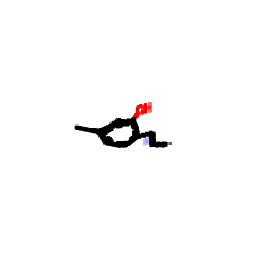 [CH2]/C=C/c1ccc(C)cc1O